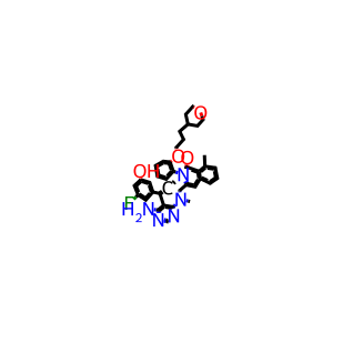 C=C=C(c1cc(O)cc(F)c1)c1c(N)ncnc1N(C)Cc1cc2cccc(C)c2c(=O)n1-c1ccccc1OCCCC1CCOCC1